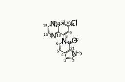 Cn1ccc2ccn(-c3cc(Cl)cc4nccnc34)c(=O)c21